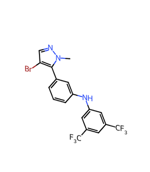 Cn1ncc(Br)c1-c1cccc(Nc2cc(C(F)(F)F)cc(C(F)(F)F)c2)c1